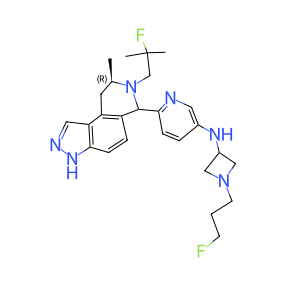 C[C@@H]1Cc2c(ccc3[nH]ncc23)C(c2ccc(NC3CN(CCCF)C3)cn2)N1CC(C)(C)F